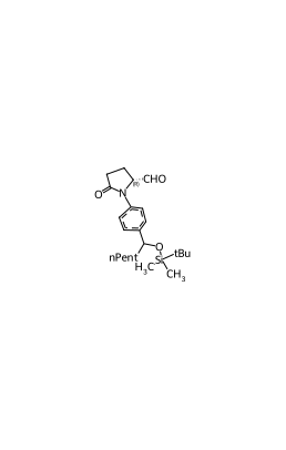 CCCCCC(O[Si](C)(C)C(C)(C)C)c1ccc(N2C(=O)CC[C@@H]2C=O)cc1